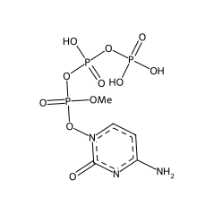 COP(=O)(On1ccc(N)nc1=O)OP(=O)(O)OP(=O)(O)O